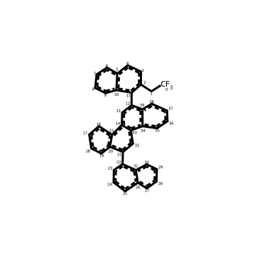 FC(F)(F)Cc1ccc2ccccc2c1-c1cc2c3ccccc3c(-c3cccc4ccccc34)cc2c2ccccc12